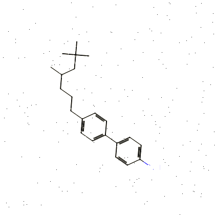 CC(CCCc1ccc(-c2ccc(N)cc2)cc1)CC(C)(C)C